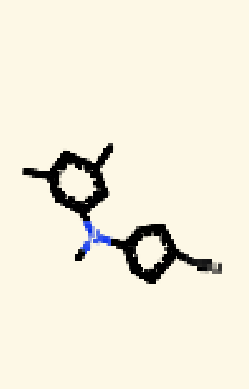 Cc1cc(C)cc(N(C)c2ccc(C(C)(C)C)cc2)c1